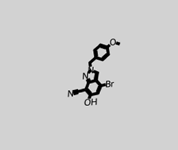 COc1ccc(Cn2cc3c(Br)cc(O)c(C#N)c3n2)cc1